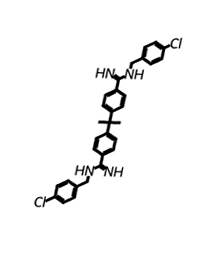 CC(C)(c1ccc(C(=N)NCc2ccc(Cl)cc2)cc1)c1ccc(C(=N)NCc2ccc(Cl)cc2)cc1